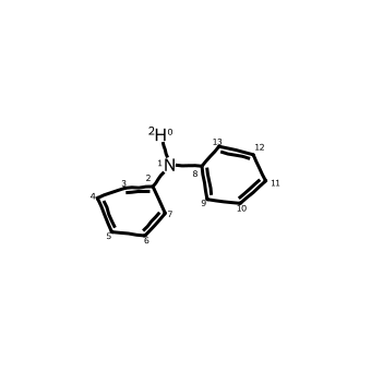 [2H]N(c1ccccc1)c1ccccc1